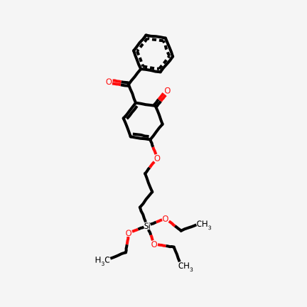 CCO[Si](CCCOC1=CC=C(C(=O)c2ccccc2)C(=O)C1)(OCC)OCC